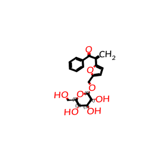 C=C(C(=O)c1ccccc1)c1ccc(CO[C@H]2O[C@H](CO)[C@@H](O)[C@H](O)[C@H]2O)o1